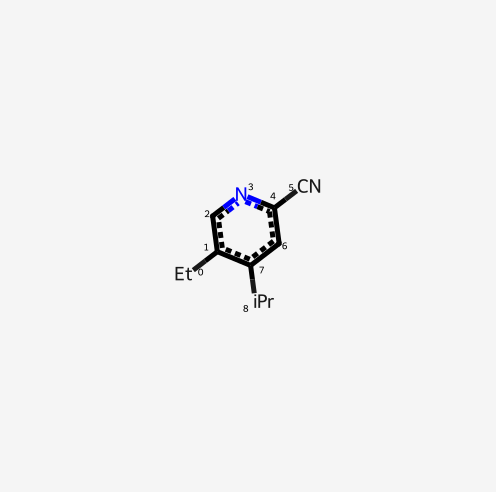 CCc1cnc(C#N)cc1C(C)C